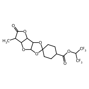 CC1C(=O)OC2C3OC4(CCC(C(=O)OC(C(F)(F)F)C(F)(F)F)CC4)OC3OC12